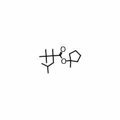 CC(C)CC(C)(C(=O)OC1(C)CCCC1)C(C)(C)C